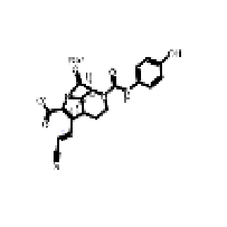 N#C/C=C/C1=C(C(=O)[O-])N2C(=O)[C@@H]3[C@H]2C1CCN3C(=O)Nc1ccc(O)cc1.[Na+]